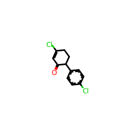 O=C1C=C(Cl)CCC1c1ccc(Cl)cc1